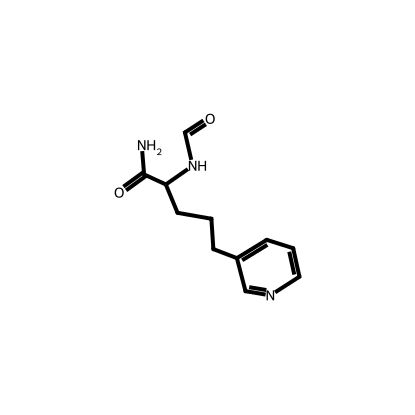 NC(=O)C(CCCc1cccnc1)NC=O